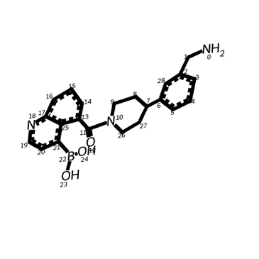 NCc1cccc(C2CCN(C(=O)c3cccc4nccc(B(O)O)c34)CC2)c1